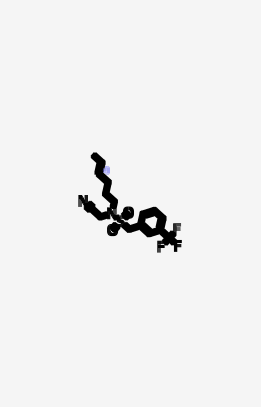 C/C=C/CCCN(CC#N)S(=O)(=O)Cc1cccc(C(F)(F)F)c1